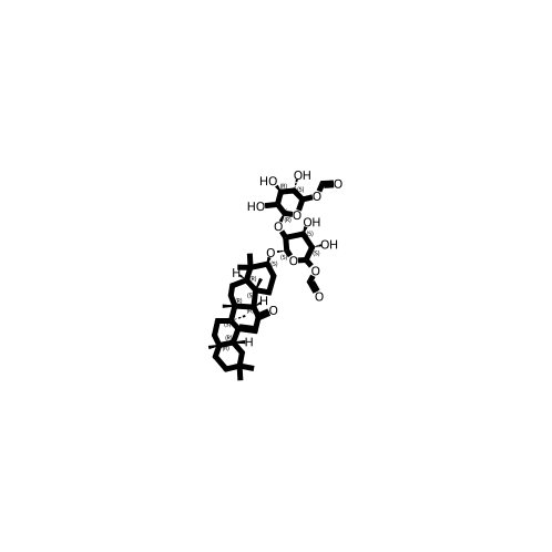 CC1(C)CC[C@]2(C)CC[C@]3(C)C(=CC(=O)[C@@H]4[C@@]5(C)CC[C@H](O[C@H]6OC(OC=O)[C@@H](O)[C@H](O)C6O[C@@H]6OC(OC=O)[C@@H](O)[C@H](O)C6O)C(C)(C)[C@@H]5CC[C@]43C)[C@@H]2C1